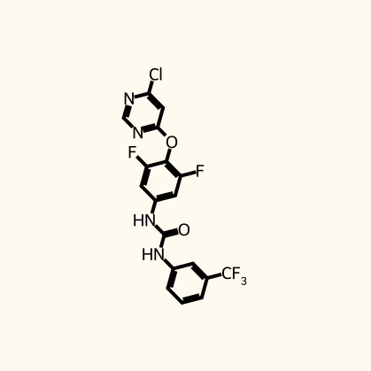 O=C(Nc1cccc(C(F)(F)F)c1)Nc1cc(F)c(Oc2cc(Cl)ncn2)c(F)c1